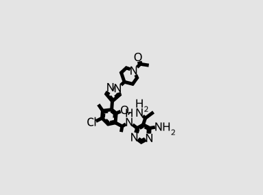 COc1c(C(C)Nc2ncnc(N)c2C(C)N)cc(Cl)c(C)c1-c1cnn(C2CCN(C(C)=O)CC2)c1